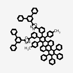 Cc1ccc(-c2c(-c3cccc(-c4nnc(-c5cc(-c6ccccc6)cc(-c6ccccc6)c5)o4)c3)c(-c3cccc(-c4nnc(-c5cc(-c6ccccc6)cc(-c6ccccc6)c5)o4)c3)c(-c3ccc(C)cc3)c3c4cccc5c6c(-c7ccccc7)c(-c7ccccc7)c(-c7ccccc7)c(-c7ccccc7)c6c6cccc(c23)c6c54)cc1